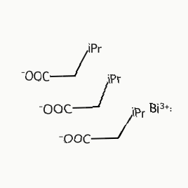 CC(C)CC(=O)[O-].CC(C)CC(=O)[O-].CC(C)CC(=O)[O-].[Bi+3]